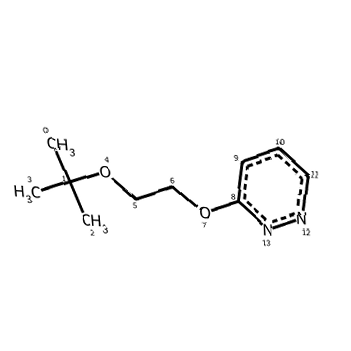 CC(C)(C)OCCOc1cccnn1